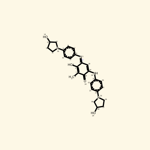 CC1=C(O)/C(=N\c2ccc(N3CCC(O)C3)cc2)C=C(Nc2ccc(N3CCC(O)C3)cc2)C1=O